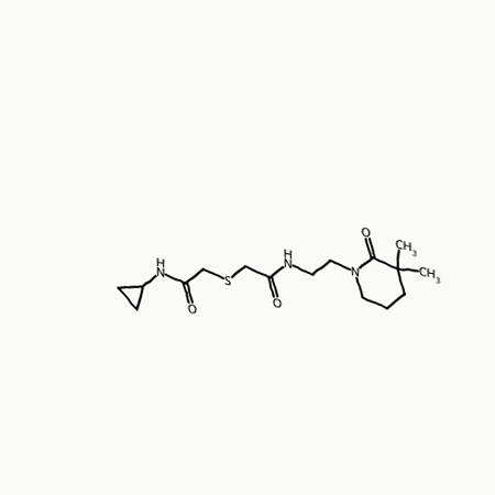 CC1(C)CCCN(CCNC(=O)CSCC(=O)NC2CC2)C1=O